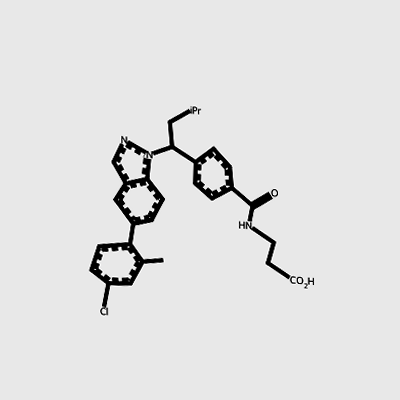 Cc1cc(Cl)ccc1-c1ccc2c(cnn2C(CC(C)C)c2ccc(C(=O)NCCC(=O)O)cc2)c1